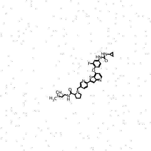 CN(C)CCNC(=O)C1CCCN1Cc1ccc(-c2cc3nccc(Oc4ccc(NC(=O)NC5CC5)cc4F)c3s2)nc1